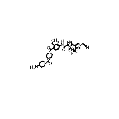 CCc1cc(NC(=O)c2ncc(-c3cn(CC#N)nc3C(F)(F)F)n2C)ccc1C(=O)N1CCN(C(=O)N2CCC(N)CC2)CC1